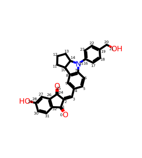 O=C1C(=Cc2ccc3c(c2)C2CCCC2N3c2ccc(CO)cc2)C(=O)c2cc(O)ccc21